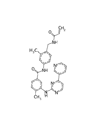 C=CC(=O)NCc1ccc(NC(=O)c2ccc(C)c(Nc3nccc(-c4cccnc4)n3)c2)cc1C